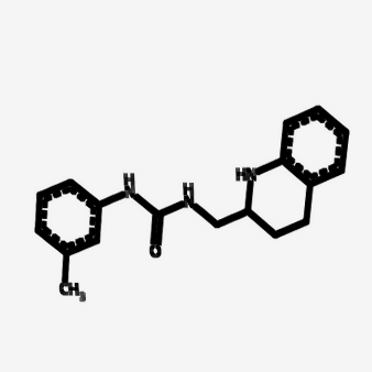 Cc1cccc(NC(=O)NCC2CCc3ccccc3N2)c1